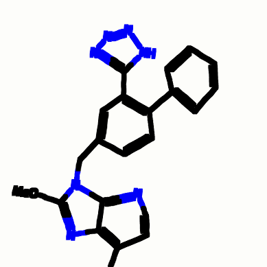 COc1nc2c(C)ccnc2n1Cc1ccc(-c2ccccc2)c(-c2nnn[nH]2)c1